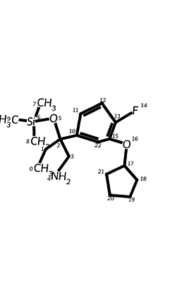 CCC(CN)(O[Si](C)(C)C)c1ccc(F)c(OC2CCCC2)c1